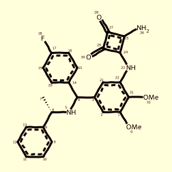 COc1cc(C(N[C@@H](C)c2ccccc2)c2ccc(F)cc2)cc(Nc2c(N)c(=O)c2=O)c1OC